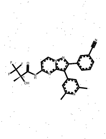 Cc1cc(-c2c(-c3cccc(C#N)c3)nn3ccc(NC(=O)[C@](C)(O)C(F)(F)F)nc23)cc(C)n1